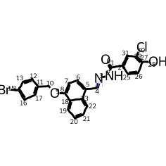 O=C(N/N=C/c1ccc(OCc2ccc(Br)cc2)c2ccccc12)c1ccc(O)c(Cl)c1